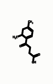 CC1=CC=C(C(=O)CCC(=O)O)C(C)C1